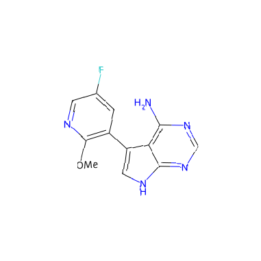 COc1ncc(F)cc1-c1c[nH]c2ncnc(N)c12